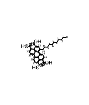 CCCCCCCCCCCc1cc(C(=O)O)c2c(C(=O)O)ccc3c4ccc(C(=O)O)c5c(C(=O)O)ccc(c1c23)c54